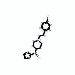 [O-][S+](c1nccs1)C1CCN(CCc2ccc(F)cc2)CC1